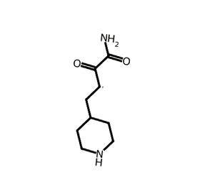 NC(=O)C(=O)[CH]CC1CCNCC1